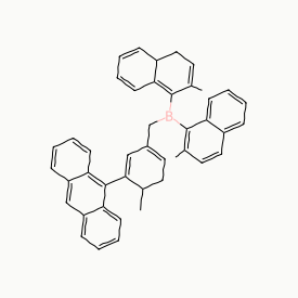 CC1=CCC2C=CC=CC2=C1B(CC1=CCC(C)C(c2c3ccccc3cc3ccccc23)=C1)c1c(C)ccc2ccccc12